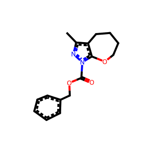 Cc1nn(C(=O)OCc2ccccc2)c2c1CCCCO2